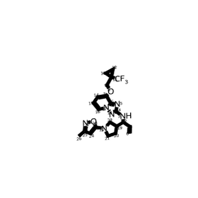 C=CC(Nc1nc2c(OCC3(C(F)(F)F)CC3)cccn2n1)C1CCN(c2cc(C)no2)C1